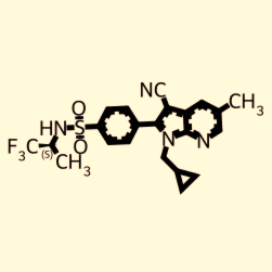 Cc1cnc2c(c1)c(C#N)c(-c1ccc(S(=O)(=O)N[C@@H](C)C(F)(F)F)cc1)n2CC1CC1